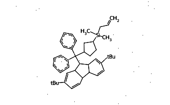 C=CC[Si](C)(C)C1CCC(C(c2ccccc2)(c2ccccc2)C2C3C=C(C(C)(C)C)C=CC3C3C=CC(C(C)(C)C)=CC32)C1